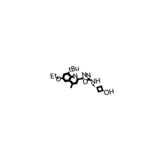 CCOc1cc(C(C)(C)C)c2nc(-c3nnc(NC[C@H]4C[C@@H](O)C4)o3)cc(C)c2c1